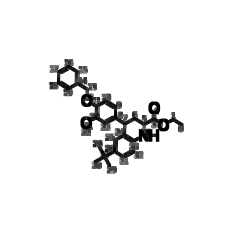 CCOC(=O)C1CC(c2ccc(OCc3ccccc3)c(OC)c2)c2cc(C(C)(C)C)ccc2N1